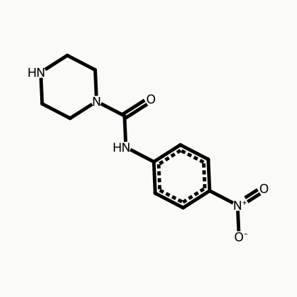 O=C(Nc1ccc([N+](=O)[O-])cc1)N1CCNCC1